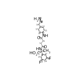 CC(NC(=O)CCC(=O)Nc1ccc(C=NN)cc1)(C(=O)O)c1cc(F)cc(F)c1